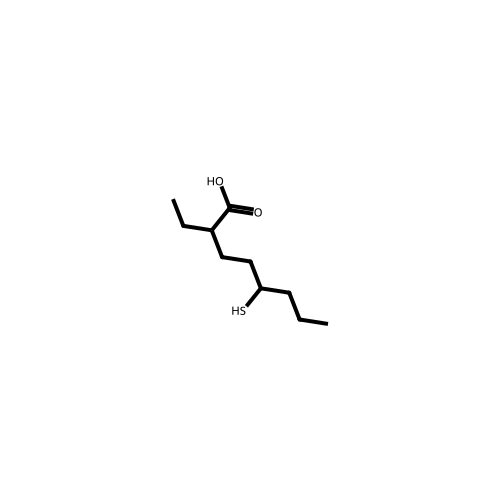 CCCC(S)CCC(CC)C(=O)O